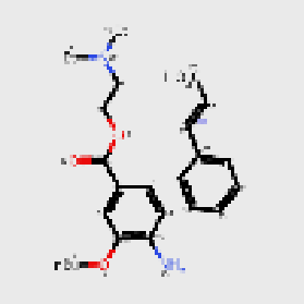 CCCCOc1cc(C(=O)OCCN(CC)CC)ccc1N.O=C(O)/C=C/c1ccccc1